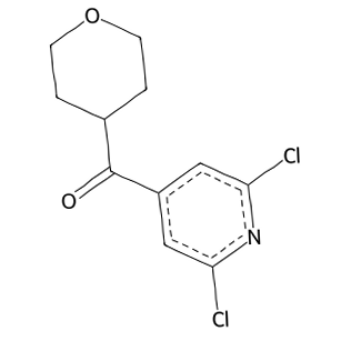 O=C(c1cc(Cl)nc(Cl)c1)C1CCOCC1